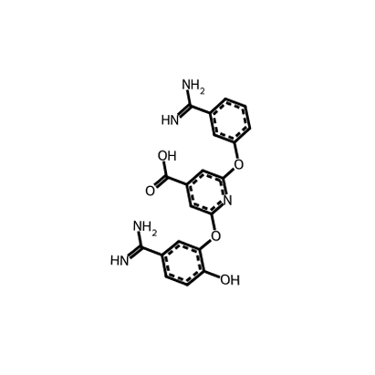 N=C(N)c1cccc(Oc2cc(C(=O)O)cc(Oc3cc(C(=N)N)ccc3O)n2)c1